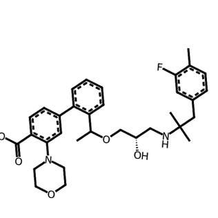 Cc1ccc(CC(C)(C)NC[C@H](O)COC(C)c2ccccc2-c2ccc(C(=O)O)c(N3CCOCC3)c2)cc1F